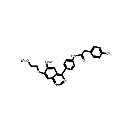 COCCOc1cc2ncnc(-c3ccc(NC(=O)Cc4ccc(C(F)(F)F)cc4)cc3)c2cc1OC